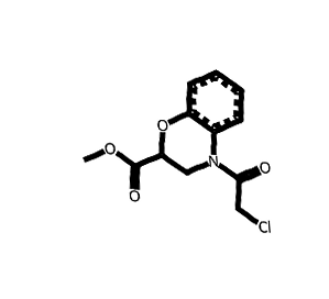 COC(=O)C1CN(C(=O)CCl)c2ccccc2O1